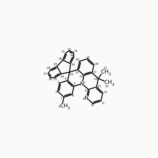 Cc1ccc2c(c1)N1c3ncccc3C(C)(C)c3cccc(c31)C21c2ccccc2-c2ccccc21